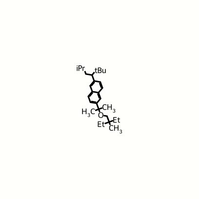 CCC(C)(CC)COC(C)(C)c1ccc2cc(C(CC(C)C)C(C)(C)C)ccc2c1